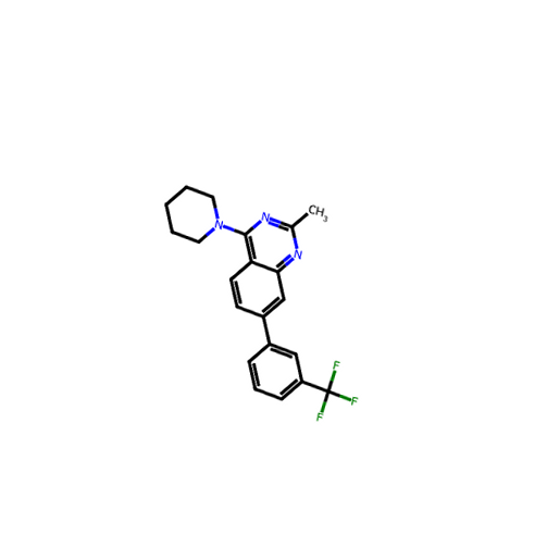 Cc1nc(N2CCCCC2)c2ccc(-c3cccc(C(F)(F)F)c3)cc2n1